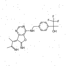 CC(=N)/C(C)=C1\C(=N)Oc2c(NCc3ccc(C(C)(O)C(F)(F)F)cc3)ncnc21